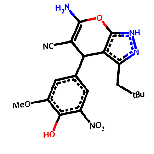 COc1cc(C2C(C#N)=C(N)Oc3[nH]nc(CC(C)(C)C)c32)cc([N+](=O)[O-])c1O